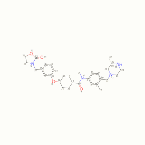 Cc1cc(N(C)C(=O)C2CCC(Oc3cccc(CN4CCOC4=O)c3)CC2)ccc1CN1CCN[C@@H](C)C1